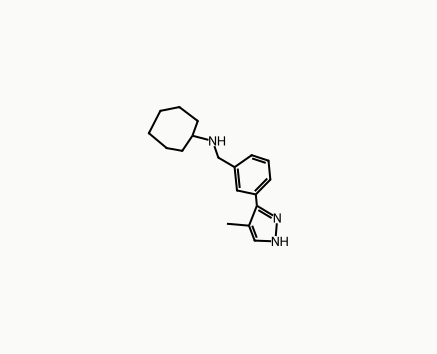 Cc1c[nH]nc1-c1cccc(CNC2CCCCCC2)c1